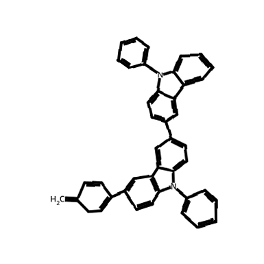 C=C1C=CC(c2ccc3c(c2)c2cc(-c4ccc5c(c4)c4ccccc4n5-c4ccccc4)ccc2n3-c2ccccc2)=CC1